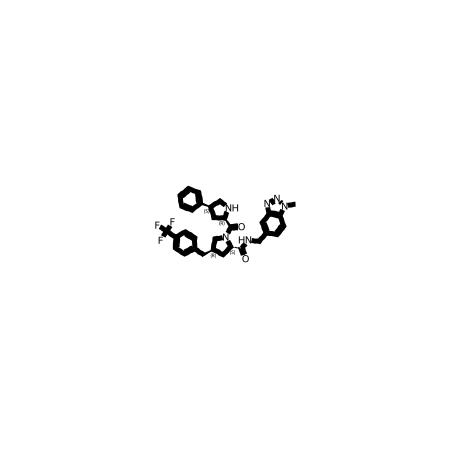 Cn1nnc2cc(CNC(=O)[C@@H]3C[C@@H](Cc4ccc(C(F)(F)F)cc4)CN3C(=O)[C@H]3C[C@@H](c4ccccc4)CN3)ccc21